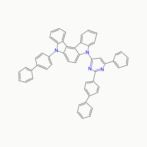 c1ccc(-c2ccc(-c3nc(-c4ccccc4)cc(-n4c5ccccc5c5c6c7ccccc7n(-c7ccc(-c8ccccc8)cc7)c6ccc54)n3)cc2)cc1